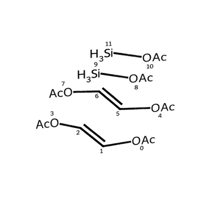 CC(=O)OC=COC(C)=O.CC(=O)OC=COC(C)=O.CC(=O)O[SiH3].CC(=O)O[SiH3]